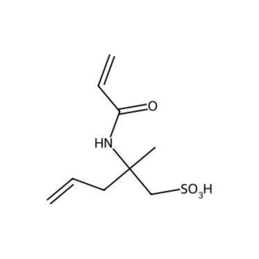 C=CCC(C)(CS(=O)(=O)O)NC(=O)C=C